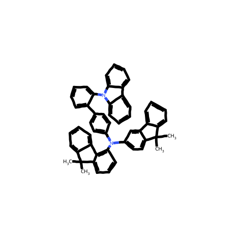 CC1(C)c2ccccc2-c2cc(N(c3ccc(-c4ccccc4-n4c5ccccc5c5ccccc54)cc3)c3cccc4c3-c3ccccc3C4(C)C)ccc21